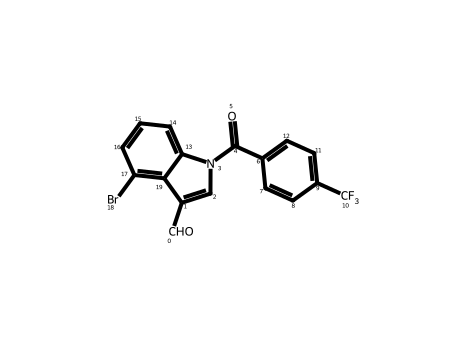 O=Cc1cn(C(=O)c2ccc(C(F)(F)F)cc2)c2cccc(Br)c12